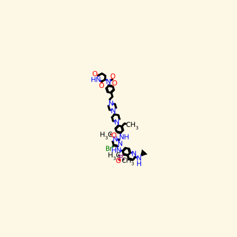 CCc1cc(Nc2ncc(Br)c(Nc3ccc4nc(NC5CC5)ccc4c3P(C)(C)=O)n2)c(OC)cc1N1CCC(N2CCN(CCc3ccc4c(c3)oc(=O)n4C3CCC(=O)NC3=O)CC2)CC1